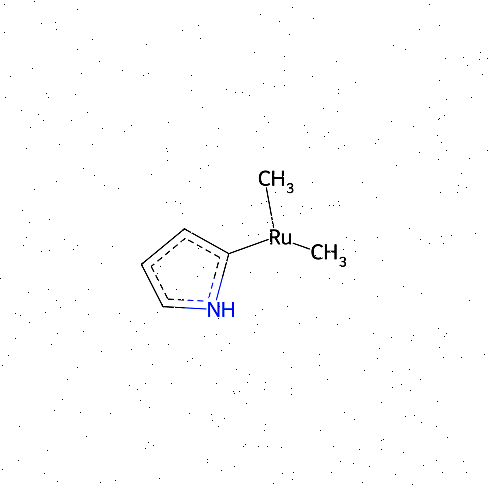 [CH3][Ru]([CH3])[c]1ccc[nH]1